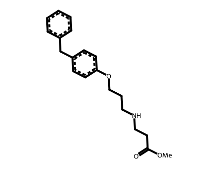 COC(=O)CCNCCCOc1ccc(Cc2ccccc2)cc1